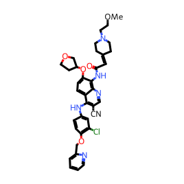 COCCN1CCC(=CC(=O)Nc2c(OC3CCOC3)ccc3c(Nc4ccc(OCc5ccccn5)c(Cl)c4)c(C#N)cnc23)CC1